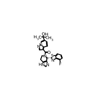 CC(C)(O)c1ccc2c(C(=O)N3CCc4[nH]cnc4[C@H]3c3nc4c(F)cccc4s3)cnn2c1